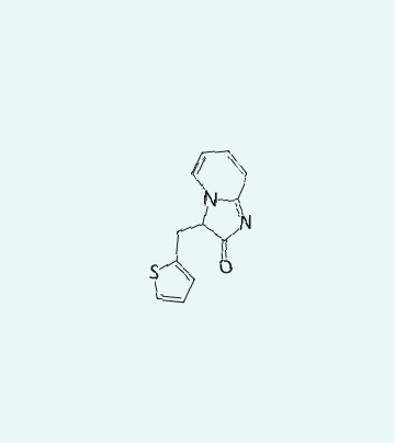 O=C1N=C2C=CC=CN2C1Cc1cccs1